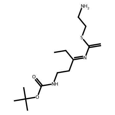 C=C(/N=C(\CC)CCNC(=O)OC(C)(C)C)SCCN